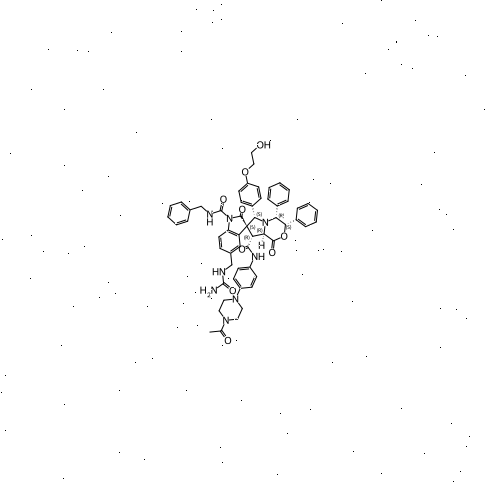 CC(=O)N1CCN(c2ccc(NC(=O)[C@H]3[C@@H]4C(=O)O[C@@H](c5ccccc5)[C@@H](c5ccccc5)N4[C@@H](c4ccc(OCCO)cc4)[C@]34C(=O)N(C(=O)NCc3ccccc3)c3ccc(CNC(N)=O)cc34)cc2)CC1